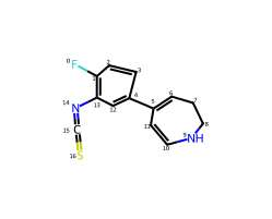 Fc1ccc(C2=CCCNC=C2)cc1N=C=S